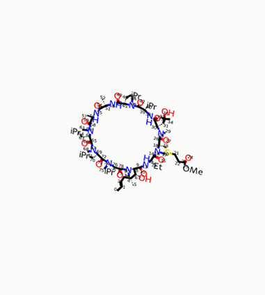 C/C=C/C[C@@H](C)[C@@H](O)[C@H]1C(=O)N[C@@H](CC)C(=O)N(C)[C@@H](CSCCC(=O)OC)C(=O)N(C)[C@@H](CC(C)(C)O)C(=O)N[C@@H](C(C)C)C(=O)N(C)[C@@H](CC(C)C)C(=O)N[C@@H](C)C(=O)N[C@H](C)C(=O)N(C)[C@@H](CC(C)C)C(=O)N(C)[C@@H](CC(C)C)C(=O)N(C)[C@@H](C(C)C)C(=O)N1C